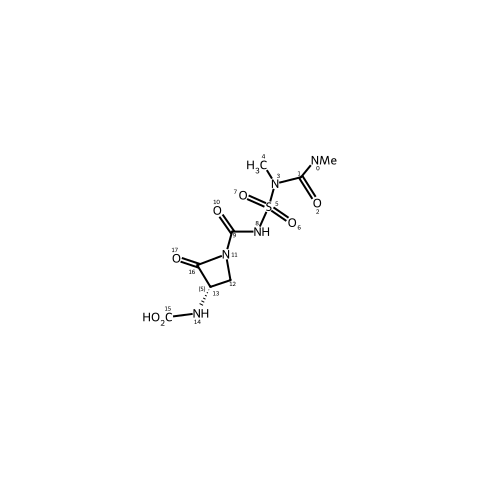 CNC(=O)N(C)S(=O)(=O)NC(=O)N1C[C@H](NC(=O)O)C1=O